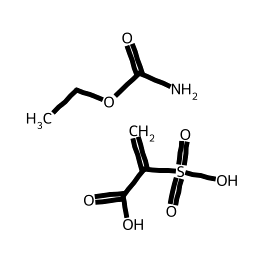 C=C(C(=O)O)S(=O)(=O)O.CCOC(N)=O